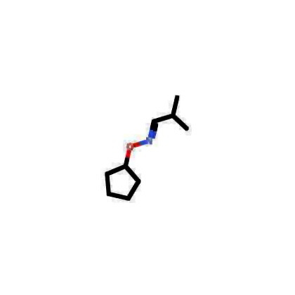 CC(C)C=NOC1CCCC1